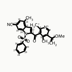 C=C(OC)c1cnc(C)c(C(=O)c2cc3c(C)cc(C#N)cc3n2S(=O)(=O)c2ccccc2)c1C